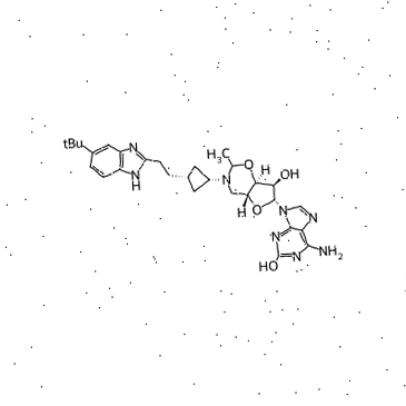 CC1O[C@H]2[C@@H](O)[C@H](n3cnc4c(N)nc(O)nc43)O[C@@H]2CN1[C@H]1C[C@@H](CCc2nc3cc(C(C)(C)C)ccc3[nH]2)C1